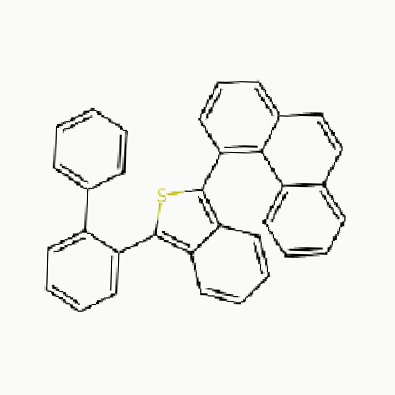 c1ccc(-c2ccccc2-c2sc(-c3cccc4ccc5ccccc5c34)c3ccccc23)cc1